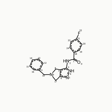 O=C(Nc1[nH]nc2c1CN(Cc1ccccc1)C2)c1ccc(F)cc1